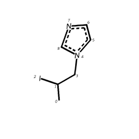 CC(I)Cn1ccnc1